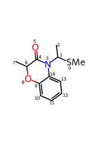 CSC(C)N1C(=O)C(C)Oc2ccccc21